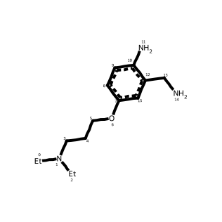 CCN(CC)CCCOc1ccc(N)c(CN)c1